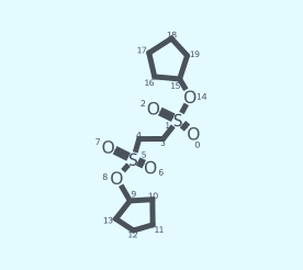 O=S(=O)(CCS(=O)(=O)OC1CCCC1)OC1CCCC1